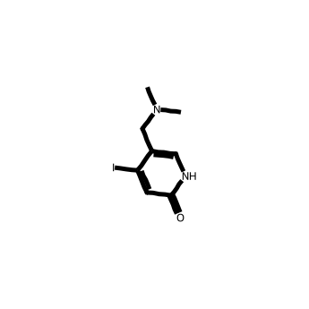 CN(C)Cc1c[nH]c(=O)cc1I